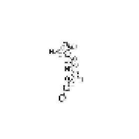 COc1cc(C(=O)NC(=O)NC2=CC(NC(=O)c3ccc(-c4ccccc4)cc3)C(Cl)C=C2)cc(OC)c1OC